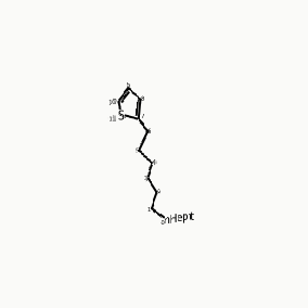 [CH2]CCCCCCCCCCCCc1cccs1